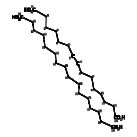 O=C(O)CCCCCCCCCCCCCC(=O)O.O=C(O)CCCCCCCCCCCCCCC(=O)O